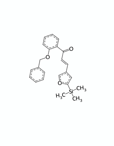 C[Si](C)(C)c1cc(C=CC(=O)c2ccccc2OCc2ccccc2)co1